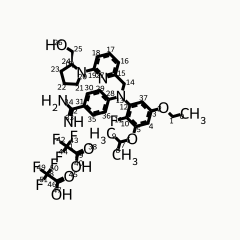 CCOc1cc(OC(C)C)c(F)c(N(Cc2cccc(N3CCC[C@H]3CO)n2)c2ccc(C(=N)N)cc2)c1.O=C(O)C(F)(F)F.O=C(O)C(F)(F)F